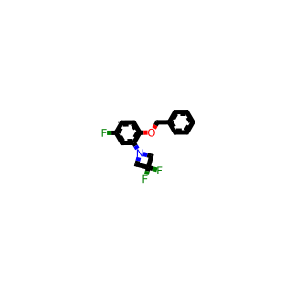 Fc1[c]cc(OCc2ccccc2)c(N2CC(F)(F)C2)c1